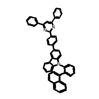 c1ccc(-c2cc(-c3ccccc3)nc(-c3ccc(-c4ccc5c(c4)c4ccccc4n5-c4ccccc4-c4cccc5ccccc45)cc3)n2)cc1